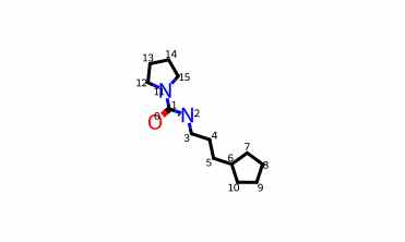 O=C([N]CCCC1CCCC1)N1CCCC1